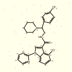 O=C(NCC(c1ccc(C(F)(F)F)cc1)N1CCCCC1)c1cn(-c2ncccn2)c2cccc(Cl)c12